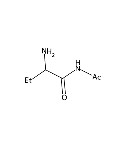 CCC(N)C(=O)NC(C)=O